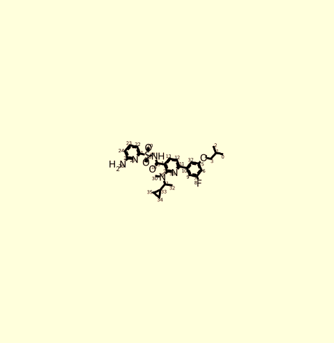 CC(C)COc1cc(F)cc(-c2ccc(C(=O)NS(=O)(=O)c3cccc(N)n3)c(N(C)C(C)C3CC3)n2)c1